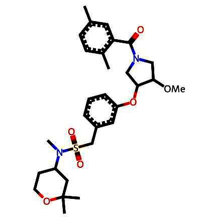 COC1CN(C(=O)c2cc(C)ccc2C)CC1Oc1cccc(CS(=O)(=O)N(C)C2CCOC(C)(C)C2)c1